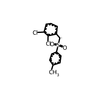 Cc1ccc(S(=O)(=O)[CH]c2cccc(Cl)c2Cl)cc1